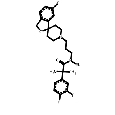 CCN(CCCN1CCC2(CC1)OCc1ccc(F)cc12)C(=O)C(C)(C)c1ccc(F)c(F)c1